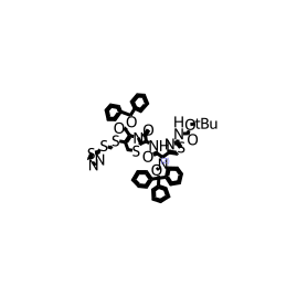 CC(C)(C)OC(=O)Nc1nc(/C(=N/OC(c2ccccc2)(c2ccccc2)c2ccccc2)C(=O)NC2C(=O)N3C(C(=O)OC(c4ccccc4)c4ccccc4)=C(SCSc4nncs4)CSC23)cs1